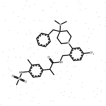 Cc1cc(C(C)C(=O)NCc2ccc(C(F)(F)F)cc2N2CCC(Cc3ccccc3)(N(C)C)CC2)ccc1NS(C)(=O)=O